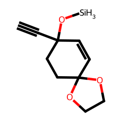 C#CC1(O[SiH3])C=CC2(CC1)OCCO2